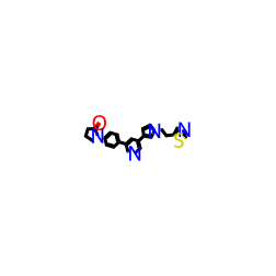 O=C1CCCN1c1ccc(-c2cncc(-c3ccn(CCc4cncs4)c3)c2)cc1